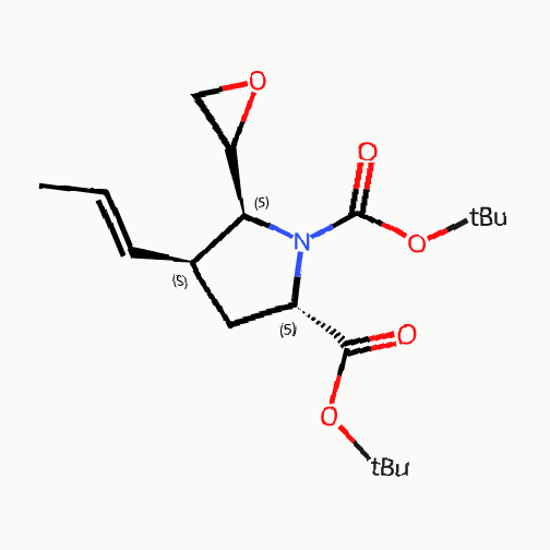 CC=C[C@@H]1C[C@@H](C(=O)OC(C)(C)C)N(C(=O)OC(C)(C)C)[C@@H]1C1CO1